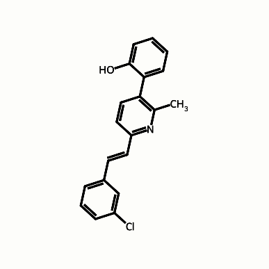 Cc1nc(C=Cc2cccc(Cl)c2)ccc1-c1ccccc1O